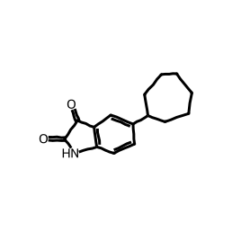 O=C1Nc2ccc(C3CCCCCC3)cc2C1=O